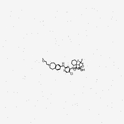 COCCN1CCc2ccc(Nc3ncc(Cl)c(N[C@@H]4CCCC[C@@]4(C(N)=O)C(C(F)(F)F)S(=O)(=O)O)n3)cc2CC1